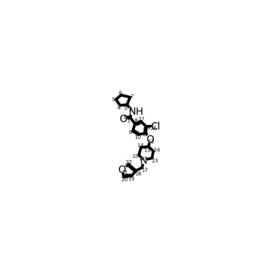 O=C(NC1CCCC1)c1ccc(OC2CCN(Cc3ccoc3)CC2)c(Cl)c1